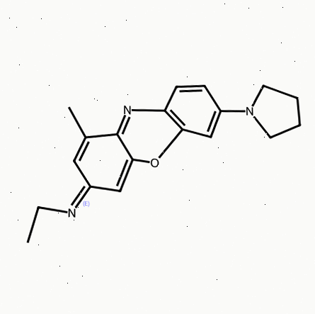 CC/N=c1/cc2oc3cc(N4CCCC4)ccc3nc-2c(C)c1